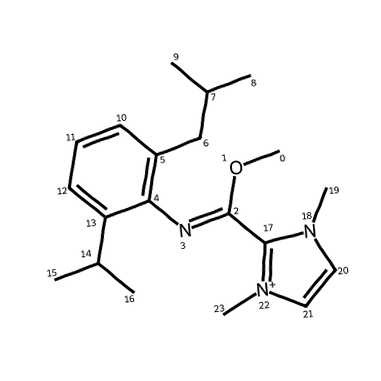 CO/C(=N\c1c(CC(C)C)cccc1C(C)C)c1n(C)cc[n+]1C